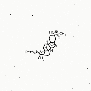 CC(C)CCC[C@@H](C)[C@H]1CC[C@H]2[C@@H]3CC=C4C[C@@](O)(S(C)(=O)=O)CC[C@]4(C)[C@H]3CC[C@]12C